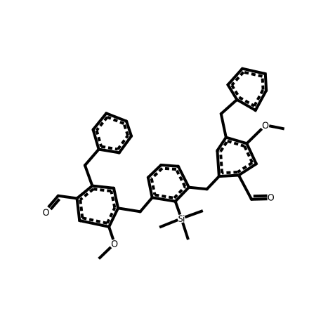 COc1cc(C=O)c(Cc2cccc(Cc3cc(Cc4ccccc4)c(C=O)cc3OC)c2[Si](C)(C)C)cc1Cc1ccccc1